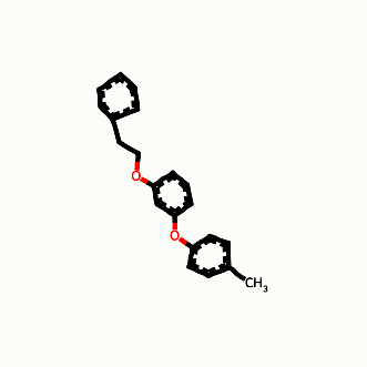 Cc1ccc(Oc2cccc(OCCc3ccccc3)c2)cc1